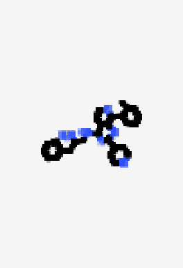 Cc1ccccc1-c1nccc2c(NCC(N)Cc3ccccc3)nc(-c3ccncc3)nc12